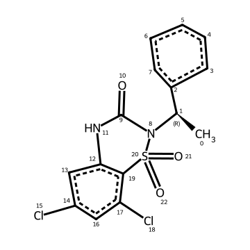 C[C@H](c1ccccc1)N1C(=O)Nc2cc(Cl)cc(Cl)c2S1(=O)=O